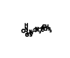 C[N+](C)(C)CCCN1CCC(c2csc(C(=O)c3c[nH]c4ccccc34)n2)CC1